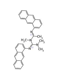 C/C(=N\c1cccc2cc3ccccc3cc12)N(C)/C(=N\c1cccc2cc3ccccc3cc12)N(C)C